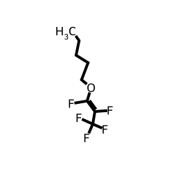 CCCCCOC(F)=C(F)C(F)(F)F